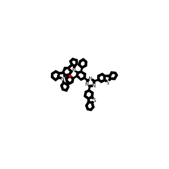 c1ccc(-c2cc(-c3nc(-c4ccc5c(c4)sc4ccccc45)nc(-c4ccc5c(c4)sc4ccccc45)n3)cc(-c3ccccc3)c2-n2c3ccccc3c3cc4c5ccccc5n(-c5ccccc5)c4cc32)cc1